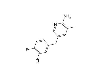 Cc1cc(Cc2ccc(F)c(Cl)c2)cnc1N